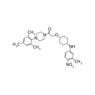 Cc1cc(C)c(N2CCN(C(=O)COC3CCC(Nc4ccc([N+](=O)[O-])c(C)c4)CC3)CC2)c(C)c1